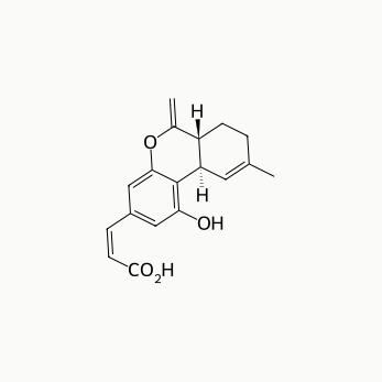 C=C1Oc2cc(/C=C\C(=O)O)cc(O)c2[C@@H]2C=C(C)CC[C@@H]12